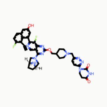 C#Cc1c(F)ccc2cc(O)cc(-c3ncc4c(N5C[C@H]6CC[C@@H](C5)N6)nc(OCC5CCN(Cc6ccc(N7CCC(=O)NC7=O)nn6)CC5)nc4c3F)c12